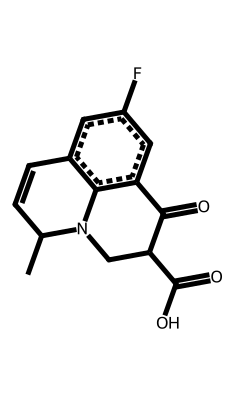 CC1C=Cc2cc(F)cc3c2N1CC(C(=O)O)C3=O